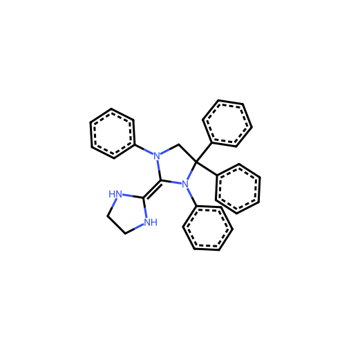 c1ccc(N2CC(c3ccccc3)(c3ccccc3)N(c3ccccc3)C2=C2NCCN2)cc1